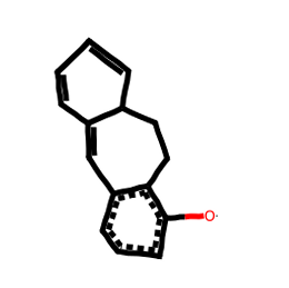 [O]c1cccc2c1CCC1C=CC=CC1=C2